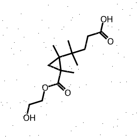 CC(C)(CCC(=O)O)C1(C)CC1(C)C(=O)OCCO